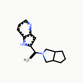 C=C(c1cc2ncccc2[nH]1)N1CC2CCCC2C1